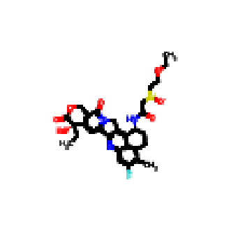 CCOCC[S+]([O-])CC(=O)N[C@H]1CCc2c(C)c(F)cc3nc4c(c1c23)Cn1c-4cc2c(c1=O)COC(=O)[C@]2(O)CC